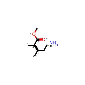 CCC(C)=C(C)C(=O)OC.N